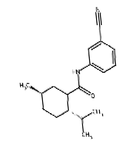 CC(C)[C@@H]1CC[C@@H](C)CC1C(=O)Nc1cccc(C#N)c1